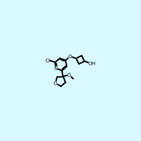 COC1(c2cc(OC3CC(O)C3)cc(Cl)n2)CCOC1